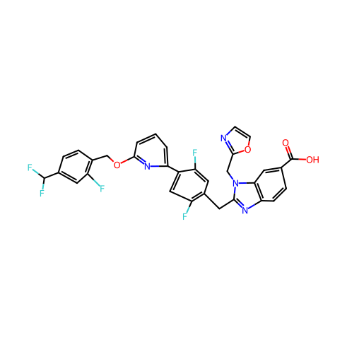 O=C(O)c1ccc2nc(Cc3cc(F)c(-c4cccc(OCc5ccc(C(F)F)cc5F)n4)cc3F)n(Cc3ncco3)c2c1